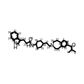 CC(C)C(=O)c1ccc2c(c1)CCN(CCC1CCC(NC(=O)CCc3c[nH]c4ccccc34)CC1)CC2